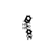 O=C(Nc1ccc2c(c1)OC(F)(F)O2)NC12CC3CCCC(C3)(C1)C2